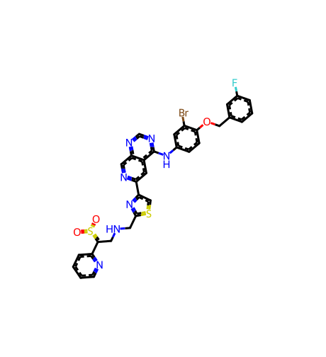 O=S(=O)=C(CNCc1nc(-c2cc3c(Nc4ccc(OCc5cccc(F)c5)c(Br)c4)ncnc3cn2)cs1)c1ccccn1